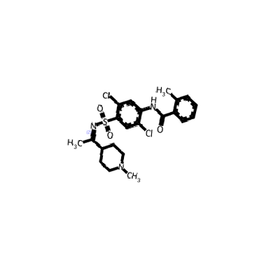 C/C(=N/S(=O)(=O)c1cc(Cl)c(NC(=O)c2ccccc2C)cc1Cl)C1CCN(C)CC1